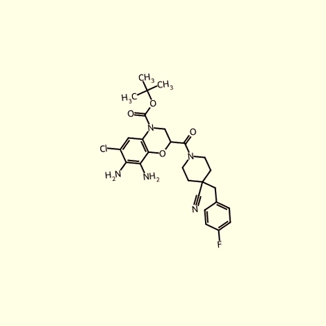 CC(C)(C)OC(=O)N1CC(C(=O)N2CCC(C#N)(Cc3ccc(F)cc3)CC2)Oc2c1cc(Cl)c(N)c2N